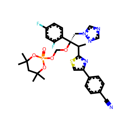 CC(c1nc(-c2ccc(C#N)cc2)cs1)[C@@](Cn1cncn1)(OCOP1(=O)OC(C)(C)CC(C)(C)O1)c1ccc(F)cc1F